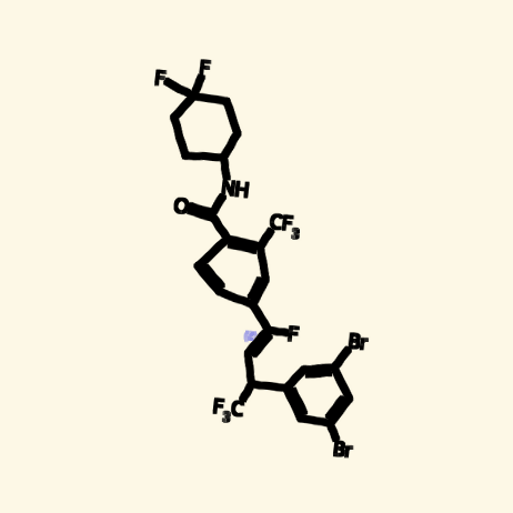 O=C(NC1CCC(F)(F)CC1)c1ccc(/C(F)=C/C(c2cc(Br)cc(Br)c2)C(F)(F)F)cc1C(F)(F)F